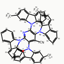 N#Cc1c(-n2c3ccccc3c3ccc(C(F)(F)F)cc32)c(-n2c3ccccc3c3ccccc32)nc(-n2c3ccccc3c3ccc(C(F)(F)F)cc32)c1-n1c2ccccc2c2ccc(C(F)(F)F)cc21